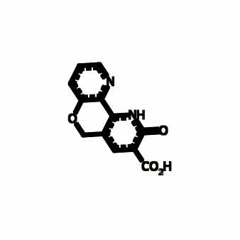 O=C(O)c1cc2c([nH]c1=O)-c1ncccc1OC2